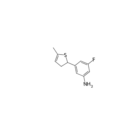 CC1=CCC(c2cc(N)cc(F)c2)S1